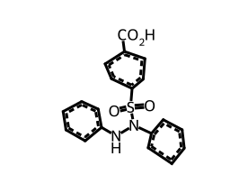 O=C(O)c1ccc(S(=O)(=O)N(Nc2ccccc2)c2ccccc2)cc1